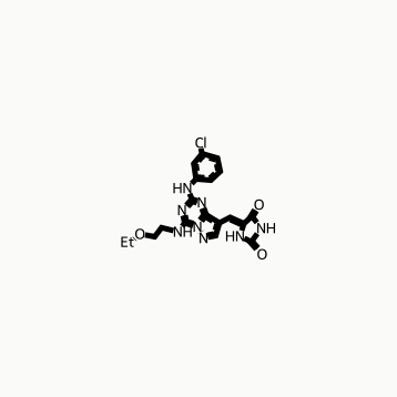 CCOCCNc1nc(Nc2cccc(Cl)c2)nc2c(/C=C3\NC(=O)NC3=O)cnn12